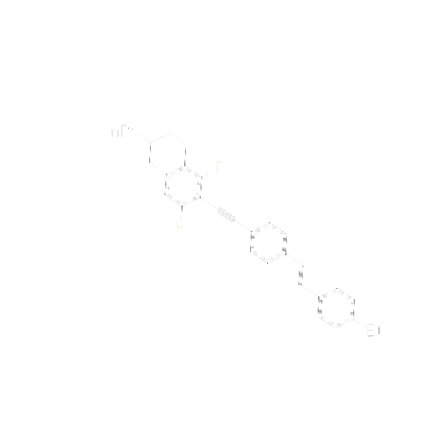 CCCC1CCc2c(cc(F)c(C#Cc3ccc(/C=C/c4ccc(CC)cc4)cc3)c2F)C1